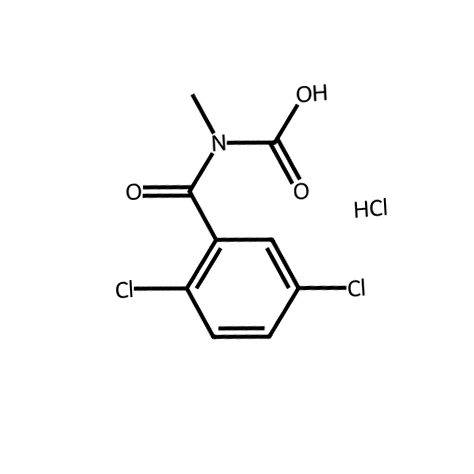 CN(C(=O)O)C(=O)c1cc(Cl)ccc1Cl.Cl